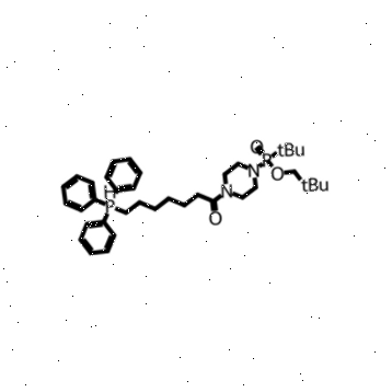 CC(C)(C)COP(=O)(N1CCN(C(=O)CCCCCC[PH](c2ccccc2)(c2ccccc2)c2ccccc2)CC1)C(C)(C)C